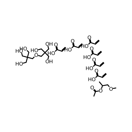 C=CC(=O)O.C=CC(=O)O.C=CC(=O)O.C=CC(=O)O.C=CC(=O)O.C=CC(=O)O.COCC(C)OC(C)=O.OCC(CO)(CO)COCC(CO)(CO)CO